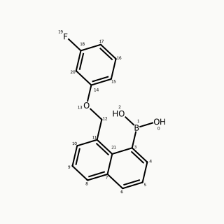 OB(O)c1cccc2cccc(COc3cccc(F)c3)c12